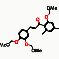 COCOc1ccc(/C=C/C(=O)c2c(C)cc(C)cc2OCOC)cc1OCOC